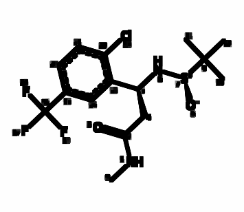 CNC(=O)C[C@H](N[S@+]([O-])C(C)(C)C)c1cc(C(F)(F)F)ccc1Cl